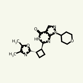 Cc1nc([C@H]2CC[C@@H]2c2nc3c(cnn3C3CCOCC3)c(=O)[nH]2)oc1C